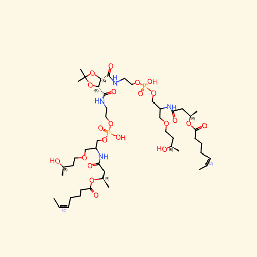 C/C=C\CCCC(=O)O[C@H](C)CC(=O)NC(COCC[C@@H](C)O)COP(=O)(O)OCCNC(=O)[C@H]1OC(C)(C)O[C@H]1C(=O)NCCOP(=O)(O)OCC(COCC[C@@H](C)O)NC(=O)C[C@@H](C)OC(=O)CCC/C=C\C